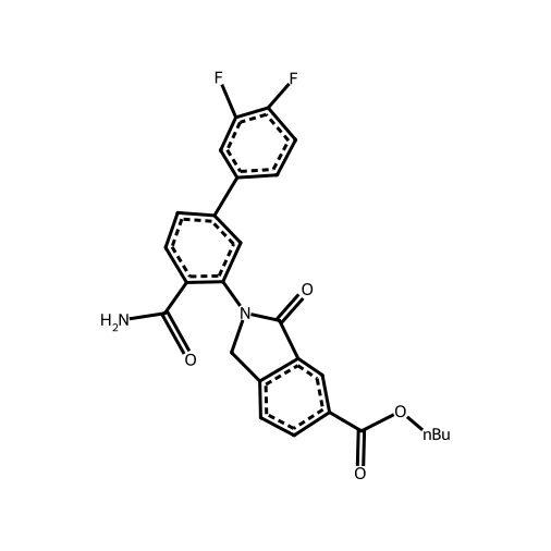 CCCCOC(=O)c1ccc2c(c1)C(=O)N(c1cc(-c3ccc(F)c(F)c3)ccc1C(N)=O)C2